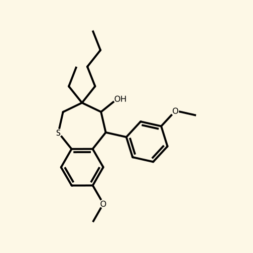 CCCCC1(CC)CSc2ccc(OC)cc2C(c2cccc(OC)c2)C1O